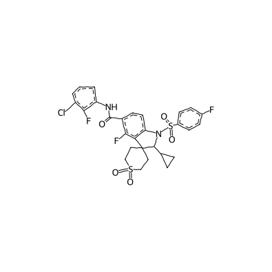 O=C(Nc1cccc(Cl)c1F)c1ccc2c(c1F)C1(CCS(=O)(=O)CC1)C(C1CC1)N2S(=O)(=O)c1ccc(F)cc1